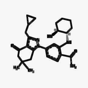 CC1(C)CC(=O)c2c(CC3CC3)nn(-c3ccc(C(N)=O)c(N[C@H]4CCCC[C@@H]4O)c3)c2C1